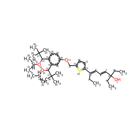 CC/C(=C\C=C\C(O)(CC)CC)c1ccc(COc2ccc(C(O[SiH](C)C)C(C)(C)C)c(C(O[SiH](C)C)C(C)(C)C)c2)s1